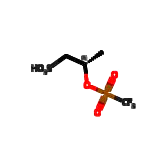 C[C@@H](CS(=O)(=O)O)OS(=O)(=O)C(F)(F)F